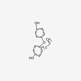 C=CC.Oc1ccc(Oc2ccc(O)cc2)cc1